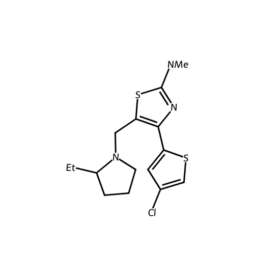 CCC1CCCN1Cc1sc(NC)nc1-c1cc(Cl)cs1